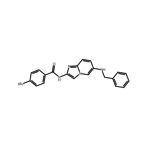 CC(C)(C)c1ccc(C(=O)Nc2cn3cc(NCc4ccccc4)ccc3n2)cc1